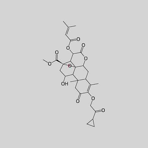 COC(=O)[C@@]12CC(O)C3C4(C)CC(=O)C(OCC(=O)C5CC5)=C(C)C4CC4OC(=O)C(OC(=O)C=C(C)C)C1C43CO2